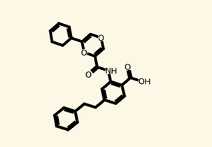 O=C(Nc1cc(CCc2ccccc2)ccc1C(=O)O)C1=COC=C(C2=CC=CCC2)O1